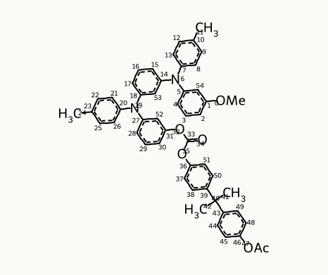 COc1cccc(N(c2ccc(C)cc2)c2cccc(N(c3ccc(C)cc3)c3cccc(OC(=O)Oc4ccc(C(C)(C)c5ccc(OC(C)=O)cc5)cc4)c3)c2)c1